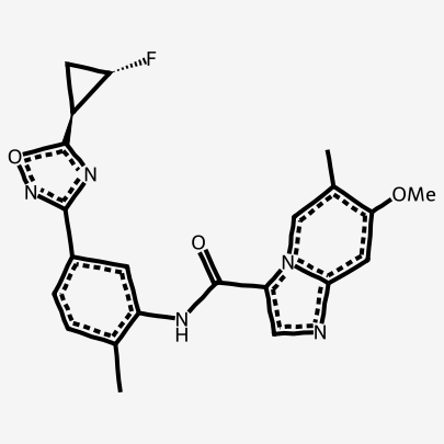 COc1cc2ncc(C(=O)Nc3cc(-c4noc([C@H]5C[C@@H]5F)n4)ccc3C)n2cc1C